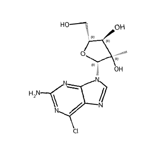 C[C@@]1(O)[C@H](O)[C@@H](CO)O[C@H]1n1cnc2c(Cl)nc(N)nc21